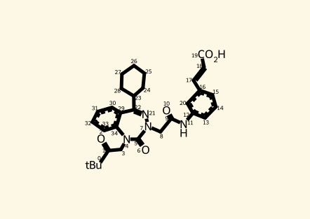 CC(C)(C)C(=O)CN1C(=O)N(CC(=O)Nc2cccc(C=CC(=O)O)c2)N=C(C2CCCCC2)c2ccccc21